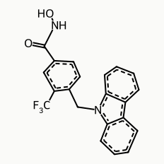 O=C(NO)c1ccc(Cn2c3ccccc3c3ccccc32)c(C(F)(F)F)c1